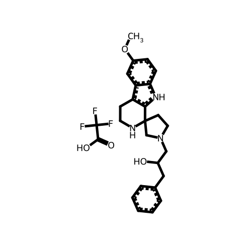 COc1ccc2[nH]c3c(c2c1)CCNC31CCN(CC(O)Cc2ccccc2)C1.O=C(O)C(F)(F)F